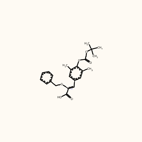 Cc1cc(/C=C(\OCc2ccccc2)C(=O)O)cc(C)c1OC(=O)OC(C)(C)C